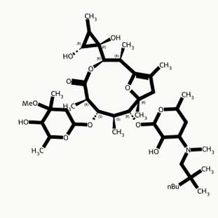 CCCCC(C)(C)CN(C)C1CC(C)OC(O[C@@H]2[C@@H](C)[C@H](OC3CC(C)(OC)C(O)C(C)O3)[C@@H](C)C(=O)O[C@@H]([C@@]3(O)C(C)[C@H]3O)[C@@H](C)C3=C(C)C[C@@]2(C)O3)C1O